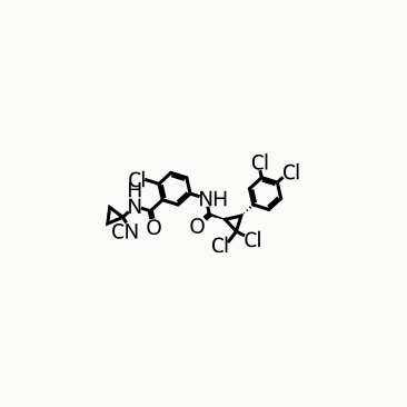 N#CC1(NC(=O)c2cc(NC(=O)[C@H]3[C@H](c4ccc(Cl)c(Cl)c4)C3(Cl)Cl)ccc2Cl)CC1